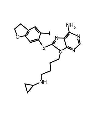 Nc1ncnc2c1nc(Sc1cc3c(cc1I)CCO3)n2CCCCNC1CC1